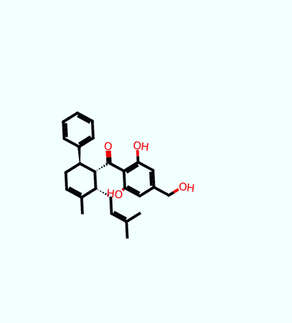 CC(C)=CC[C@@H]1C(C)=CC[C@@H](c2ccccc2)[C@@H]1C(=O)c1c(O)cc(CO)cc1O